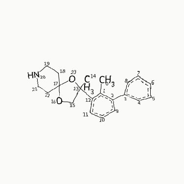 Cc1c(-c2ccccc2)cccc1C1(C)COC2(CCNCC2)O1